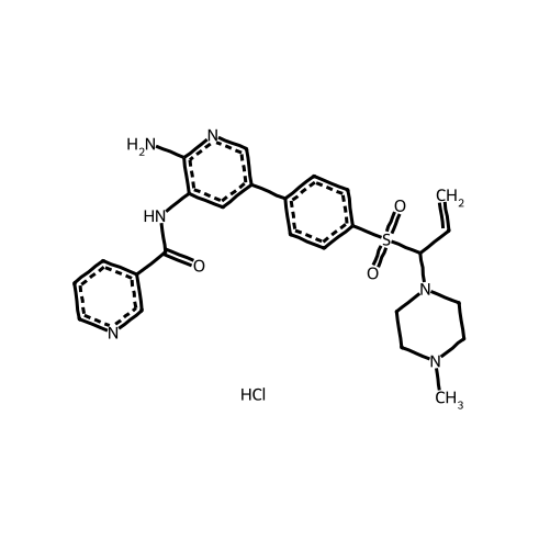 C=CC(N1CCN(C)CC1)S(=O)(=O)c1ccc(-c2cnc(N)c(NC(=O)c3cccnc3)c2)cc1.Cl